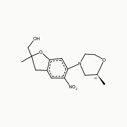 C[C@H]1CN(c2cc3c(cc2[N+](=O)[O-])CC(C)(CO)O3)CCO1